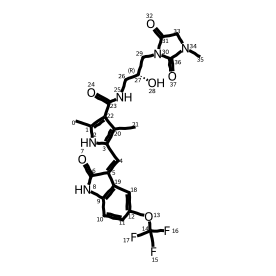 Cc1[nH]c(C=C2C(=O)Nc3ccc(OC(F)(F)F)cc32)c(C)c1C(=O)NC[C@@H](O)CN1C(=O)CN(C)C1=O